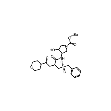 CC(C)(C)OC(=O)N1CC(O)C(NC(=O)C(CC(=O)N2CCOCC2)CS(=O)(=O)Cc2ccccc2)C1